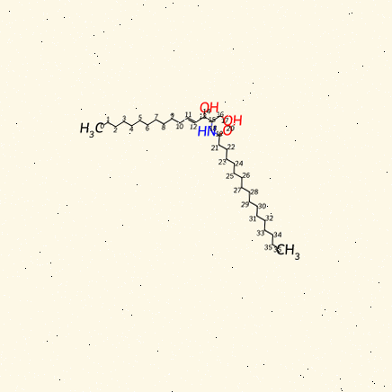 CCCCCCCCCCCC=CC(O)C(CO)NC(=O)CCCCCCCCCCCCCCCC